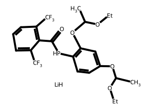 CCOC(C)Oc1ccc(PC(=O)c2c(C(F)(F)F)cccc2C(F)(F)F)c(OC(C)OCC)c1.[LiH]